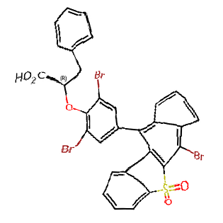 O=C(O)[C@@H](Cc1ccccc1)Oc1c(Br)cc(-c2c3c(c(Br)c4ccccc24)S(=O)(=O)c2ccccc2-3)cc1Br